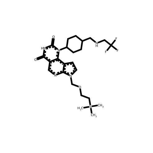 C[Si](C)(C)CCOCn1ccc2c1ncc1c(=O)[nH]c(=O)n(C3CCC(CNCC(F)(F)F)CC3)c12